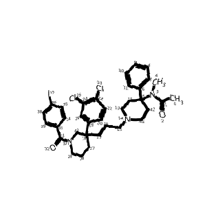 CC(=O)N(C)C1(c2ccccc2)CCN(CCCC2(c3ccc(Cl)c(Cl)c3)CCCN(C(=O)c3ccc(I)cc3)C2)CC1